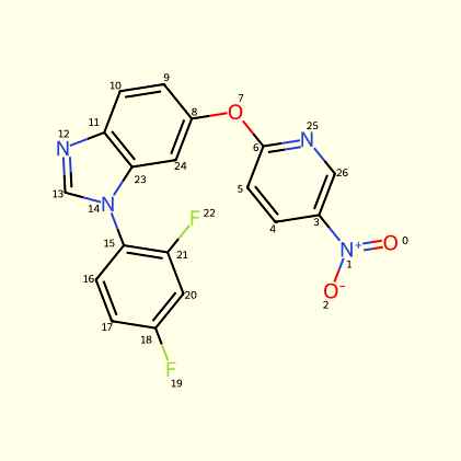 O=[N+]([O-])c1ccc(Oc2ccc3ncn(-c4ccc(F)cc4F)c3c2)nc1